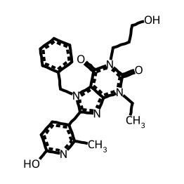 CCn1c(=O)n(CCCO)c(=O)c2c1nc(-c1ccc(O)nc1C)n2Cc1ccccc1